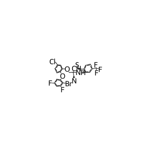 CC(C#N)(COc1cc(Cl)ccc1Oc1cc(F)cc(F)c1Br)NC(=S)c1ccc(C(F)(F)F)cc1